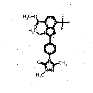 CCn1c(-c2ccc(-n3c(C)nn(C)c3=O)cc2)cc2c(C(F)(F)F)ccc(C(=O)OC)c21